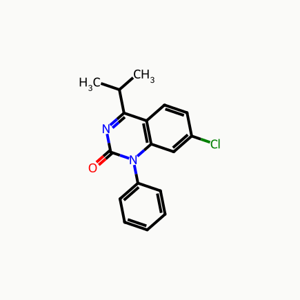 CC(C)c1nc(=O)n(-c2ccccc2)c2cc(Cl)ccc12